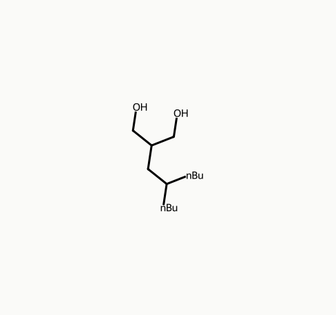 CCCCC(CCCC)CC(CO)CO